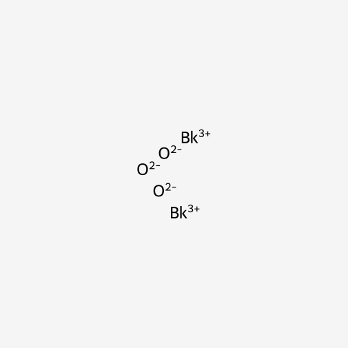 [Bk+3].[Bk+3].[O-2].[O-2].[O-2]